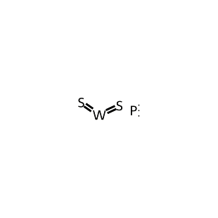 [P].[S]=[W]=[S]